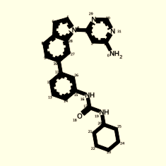 Nc1cc(-n2ccc3ccc(-c4cccc(NC(=O)NC5CCCCC5)c4)cc32)ncn1